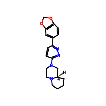 c1cc2c(cc1-c1ccc(N3CCN4CCCC[C@@H]4C3)nn1)OCO2